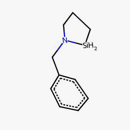 c1ccc(CN2CCC[SiH2]2)cc1